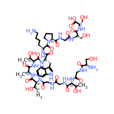 C[C@H](NC(=O)[C@@H](NC(=O)CNC(=O)CNC(=O)[C@@H](NC(=O)CNC(=O)[C@@H](N)CO)[C@@H](C)O)[C@@H](C)O)C(=O)N[C@H](C(=O)N[C@@H](Cc1c[nH]c2ccccc12)C(=O)N[C@@H](CCCCN)C(=O)N1CCC[C@H]1C(=O)NCC(=O)N[C@@H](CO)C(=O)N[C@@H](CO)C(=O)O)[C@@H](C)O